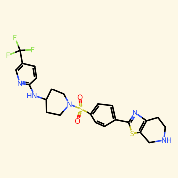 O=S(=O)(c1ccc(-c2nc3c(s2)CNCC3)cc1)N1CCC(Nc2ccc(C(F)(F)F)cn2)CC1